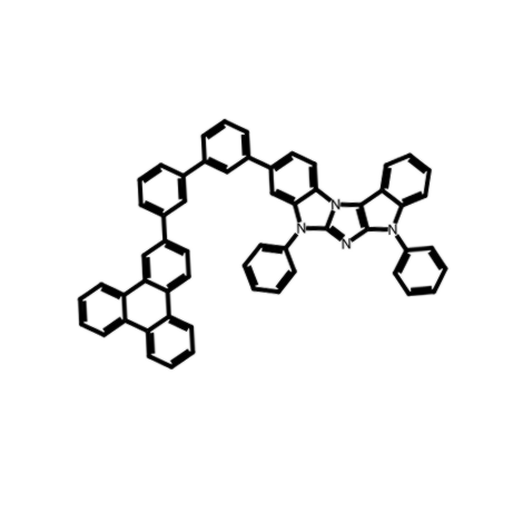 c1ccc(-n2c3ccccc3c3c2nc2n(-c4ccccc4)c4cc(-c5cccc(-c6cccc(-c7ccc8c9ccccc9c9ccccc9c8c7)c6)c5)ccc4n32)cc1